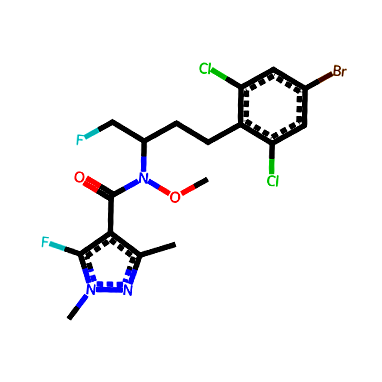 CON(C(=O)c1c(C)nn(C)c1F)C(CF)CCc1c(Cl)cc(Br)cc1Cl